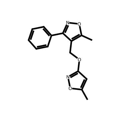 Cc1cc(OCc2c(-c3ccccc3)noc2C)no1